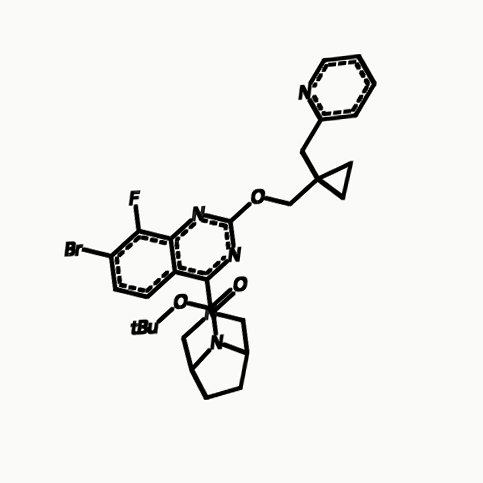 CC(C)(C)OC(=O)N1C2CCC1CN(c1nc(OCC3(Cc4ccccn4)CC3)nc3c(F)c(Br)ccc13)C2